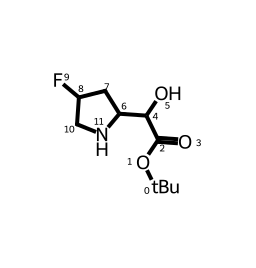 CC(C)(C)OC(=O)C(O)C1CC(F)CN1